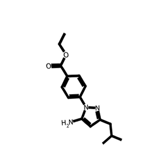 CCOC(=O)c1ccc(-n2nc(CC(C)C)cc2N)cc1